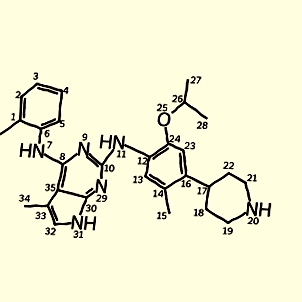 Cc1ccccc1Nc1nc(Nc2cc(C)c(C3CCNCC3)cc2OC(C)C)nc2[nH]cc(C)c12